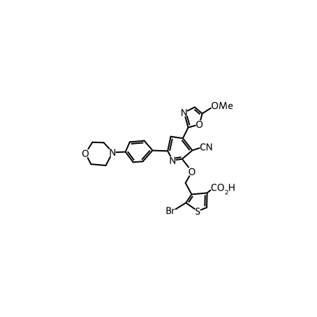 COc1cnc(-c2cc(-c3ccc(N4CCOCC4)cc3)nc(OCc3c(C(=O)O)csc3Br)c2C#N)o1